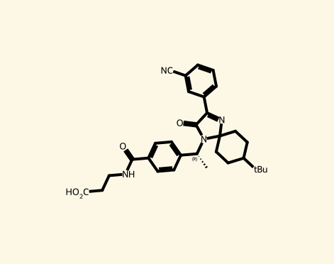 C[C@H](c1ccc(C(=O)NCCC(=O)O)cc1)N1C(=O)C(c2cccc(C#N)c2)=NC12CCC(C(C)(C)C)CC2